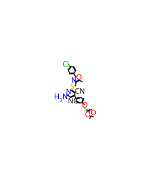 [C-]#[N+]c1c(N)nc(SCc2nc(-c3ccc(Cl)cc3)oc2C)c(C#N)c1-c1ccc(OC[C@@H]2COC(C)(C)O2)cc1